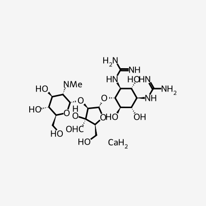 CN[C@@H]1[C@H](O[C@H]2[C@H](O[C@H]3[C@H](O)[C@@H](O)[C@H](NC(=N)N)[C@@H](O)[C@@H]3NC(=N)N)O[C@@H](CO)[C@]2(O)C=O)O[C@@H](CO)[C@H](O)[C@H]1O.[CaH2]